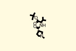 CC(C)[C@H](NC(=O)[C@H]1CCN(C)C1)C(=O)OC(C)(C)C